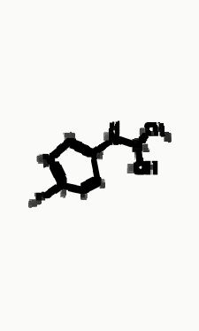 CB(O)Nc1ccc(F)nc1